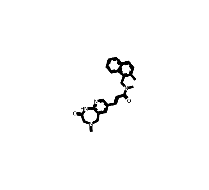 Cc1ccc2ccccc2c1CN(C)C(=O)/C=C/c1cnc2c(c1)CN(C)CC(=O)N2